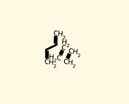 C=C.C=C.C=CC=C